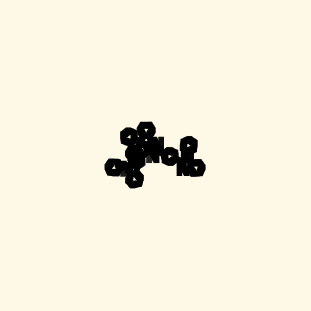 c1ccc(-n2c(-c3ccc(-c4nc(-c5ccc6c(c5)c5ccccc5n6-c5ccccc5)c5c(n4)-c4ccccc4C5(c4ccccc4)c4ccccc4)cc3)nc3ccccc32)cc1